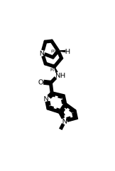 Cn1ccc2cc(C(=O)N[C@@H]3C[C@H]4CCN(C4)C3)ncc21